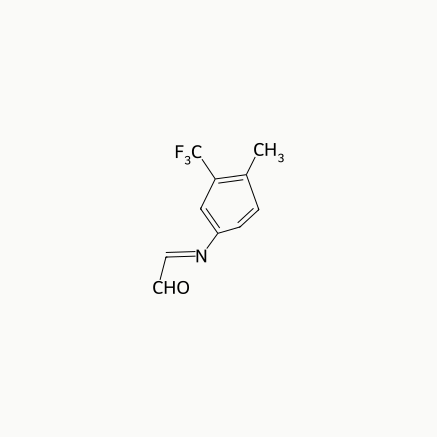 Cc1ccc(N=CC=O)cc1C(F)(F)F